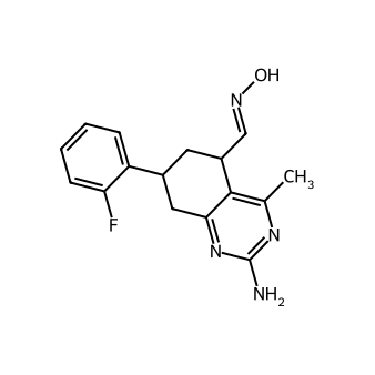 Cc1nc(N)nc2c1C(C=NO)CC(c1ccccc1F)C2